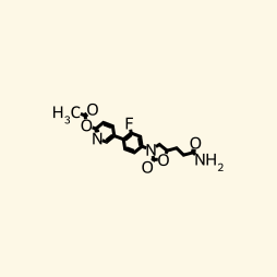 CC(=O)Oc1ccc(-c2ccc(N3CC(CCC(N)=O)OC3=O)cc2F)cn1